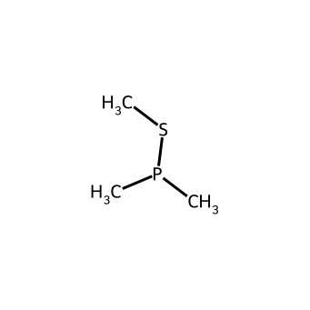 CSP(C)C